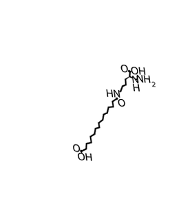 NN[C@@H](CCCCNC(=O)CCCCCCCCCCCCCCC(=O)O)C(=O)O